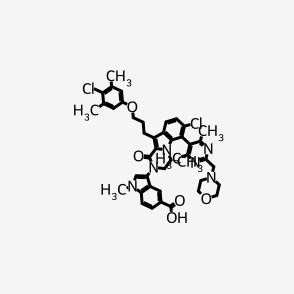 Cc1cc(OCCCc2c3n(c4c(-c5c(C)nc(CN6CCOCC6)nc5C)c(Cl)ccc24)[C@H](C)CN(c2cn(C)c4ccc(C(=O)O)cc24)C3=O)cc(C)c1Cl